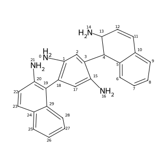 Nc1cc(C2c3ccccc3C=CC2N)c(N)cc1-c1c(N)ccc2ccccc12